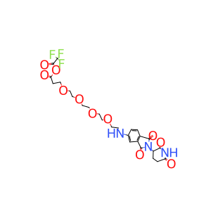 O=C1CCC(N2C(=O)c3ccc(NCCOCCOCCOCCOCCC(=O)OC(=O)C(F)(F)F)cc3C2=O)C(=O)N1